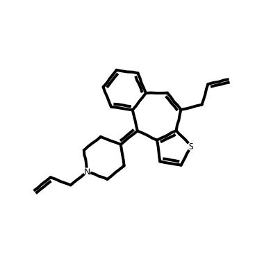 C=CCC1=Cc2ccccc2C(=C2CCN(CC=C)CC2)c2ccsc21